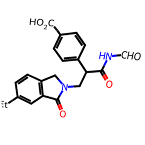 CCc1ccc2c(c1)C(=O)N(CC(C(=O)NC=O)c1ccc(C(=O)O)cc1)C2